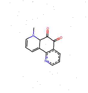 CN1C=CC=C2c3ncccc3C(=O)C(=O)C21